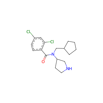 O=C(c1ccc(Cl)cc1Cl)N(CC1CCCC1)C1CCNC1